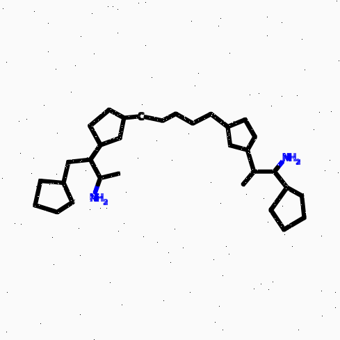 CC(N)C(CC1CCCC1)C1CCC(CCCCCC2CCC(C(C)C(N)C3CCCC3)C2)C1